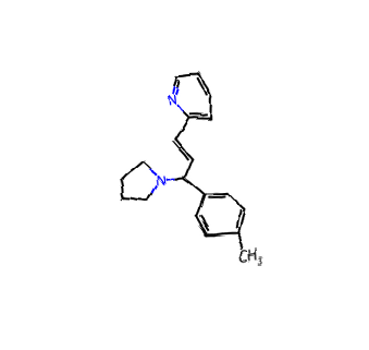 Cc1ccc(C(C=Cc2ccccn2)N2CCCC2)cc1